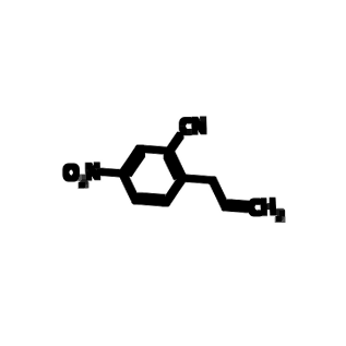 C=CCc1ccc([N+](=O)[O-])cc1C#N